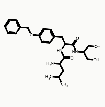 CC(C)CC(N)C(=O)NC(Cc1ccc(OCc2ccccc2)cc1)C(=O)NC(CO)CO